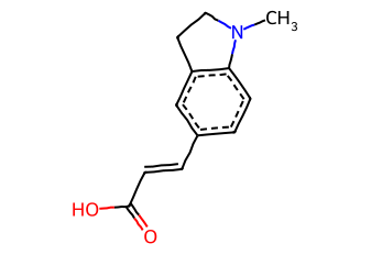 CN1CCc2cc(C=CC(=O)O)ccc21